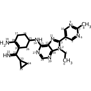 CCn1c(-c2cnc(C)nc2)nc2c(NC3CCC(N)=C(C(=N)C4CC4)C3)ncnc21